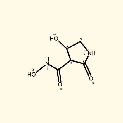 O=C(NO)C1C(=O)NCC1O